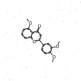 COc1ccc(-c2cc(=O)c3c(OC)cccc3o2)cc1OC